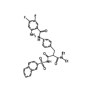 CCN(CC)C(=O)C(Cc1ccc(NC(=O)c2cc(F)c(F)cc2N)cc1)C(=O)NS(=O)(=O)c1ccc2ccccc2c1